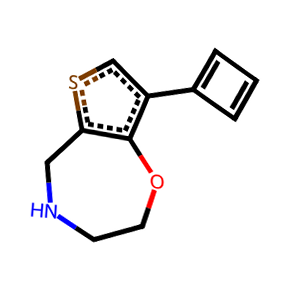 C1=CC(c2csc3c2OCCNC3)=C1